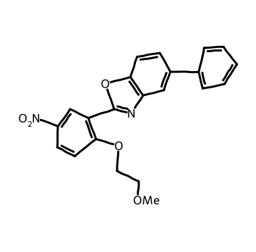 COCCOc1ccc([N+](=O)[O-])cc1-c1nc2cc(-c3ccccc3)ccc2o1